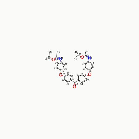 C/C(=N/c1ccc(Oc2ccc(C(=O)c3ccc(Oc4ccc(/N=C(/C)OC(C)C)cc4)cc3)cc2)cc1)OC(C)C